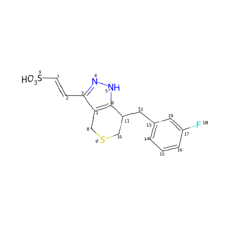 O=S(=O)(O)C=Cc1n[nH]c2c1CSCC2Cc1cccc(F)c1